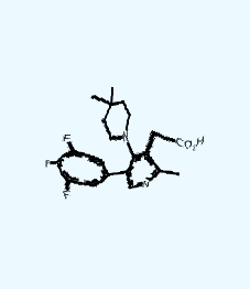 Cc1ncc(-c2cc(F)c(F)c(F)c2)c(N2CCC(C)(C)CC2)c1CC(=O)O